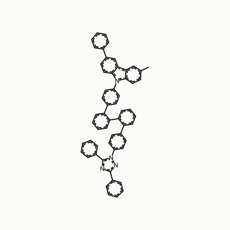 Cc1ccc2c(c1)c1cc(-c3ccccc3)ccc1n2-c1ccc(-c2ccccc2-c2ccccc2-c2ccc(-n3nc(-c4ccccc4)nc3-c3ccccc3)cc2)cc1